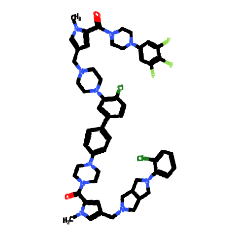 Cn1cc(CN2CCN(c3cc(-c4ccc(N5CCN(C(=O)c6cc(CN7CC8CN(c9ccccc9Cl)CC8C7)cn6C)CC5)cc4)ccc3Cl)CC2)cc1C(=O)N1CCN(c2cc(F)c(F)c(F)c2)CC1